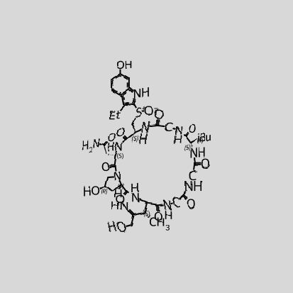 CCc1c([S+]([O-])C[C@H]2NC(=O)CNC(=O)[C@H]([C@H](C)CC)NC(=O)CNC(=O)CNC(=O)C([C@H](C)C(=N)CO)NC(=O)[C@@H]3C[C@@H](O)CN3C(=O)[C@H](CC(N)=O)NC2=O)[nH]c2cc(O)ccc12